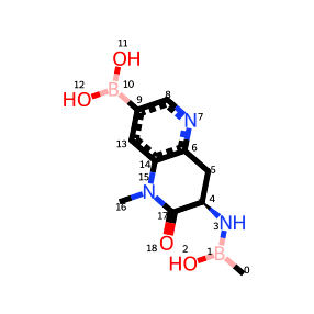 CB(O)N[C@@H]1Cc2ncc(B(O)O)cc2N(C)C1=O